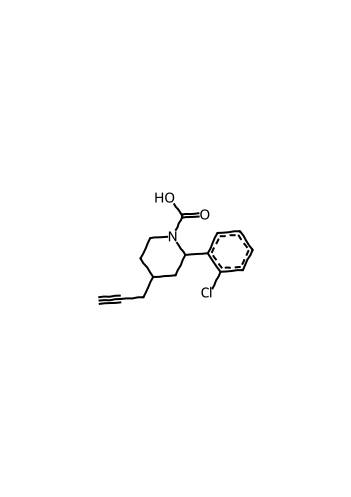 C#CCC1CCN(C(=O)O)C(c2ccccc2Cl)C1